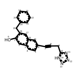 Oc1cc2ccc(C#CCc3nnn[nH]3)cc2cc1Cc1ccccc1